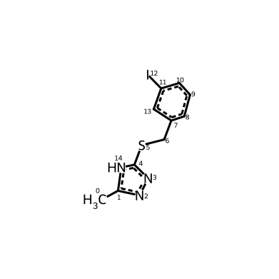 Cc1nnc(SCc2cccc(I)c2)[nH]1